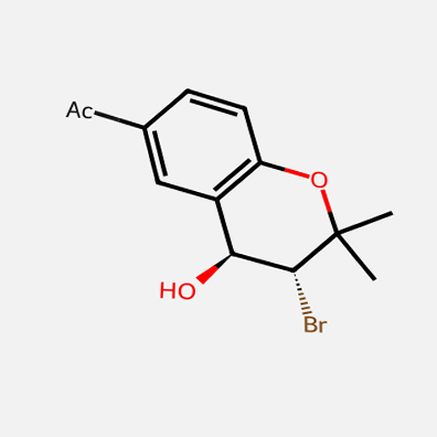 CC(=O)c1ccc2c(c1)[C@H](O)[C@@H](Br)C(C)(C)O2